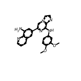 COc1ccc(Nc2nc(-c3cc(N)c4ncccc4c3)cn3ccnc23)cc1OC